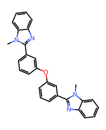 Cn1c(-c2cccc(Oc3cccc(-c4nc5ccccc5n4C)c3)c2)nc2ccccc21